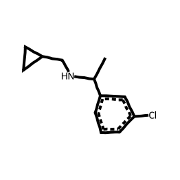 CC(NCC1CC1)c1cccc(Cl)c1